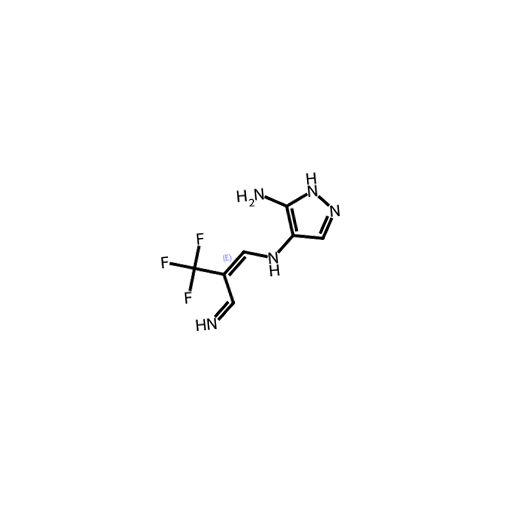 N=C/C(=C\Nc1cn[nH]c1N)C(F)(F)F